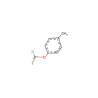 Cc1ccc(OC(=S)Cl)cc1